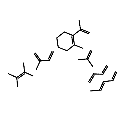 C=C(C)C.C=C(C)C1=C(C)CCCC1.C=CC(=C)C.C=CC=C.C=CC=CC.CC(C)=C(C)C